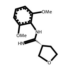 COc1cccc(OC)c1NC(=N)[C@@H]1CCOC1